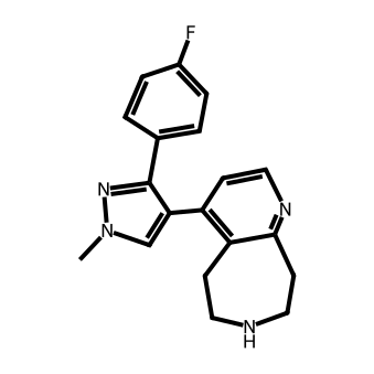 Cn1cc(-c2ccnc3c2CCNCC3)c(-c2ccc(F)cc2)n1